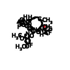 COc1cc2c(OC)cnc(O[C@@H]3C[C@H]4C(=O)N[C@]5(C(=O)NS(=O)(=O)C6(CF)CC6)C[C@H]5C=CCC[C@@H](C)C[C@@H](C)[C@H](NC(=O)C5(C(F)(F)F)CC5)C(=O)N4C3)c2cc1F